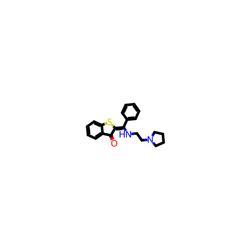 O=C1C(=C(NCCN2CCCC2)c2ccccc2)Sc2ccccc21